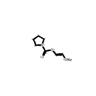 COC=COC(=O)N1CCCC1